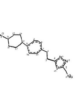 CCCCc1nnc(CCc2ccc(C3CCC(CCC)CC3)cc2)s1